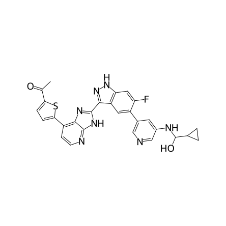 CC(=O)c1ccc(-c2ccnc3[nH]c(-c4n[nH]c5cc(F)c(-c6cncc(NC(O)C7CC7)c6)cc45)nc23)s1